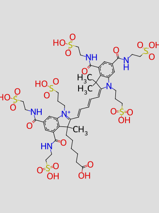 CC1(CCCCCC(=O)O)C(/C=C/C=C/C=C2/N(CCCS(=O)(=O)O)c3cc(C(=O)NCCS(=O)(=O)O)cc(C(=O)NCCS(=O)(=O)O)c3C2(C)C)=[N+](CCCS(=O)(=O)O)c2cc(C(=O)NCCS(=O)(=O)O)cc(C(=O)NCCS(=O)(=O)O)c21